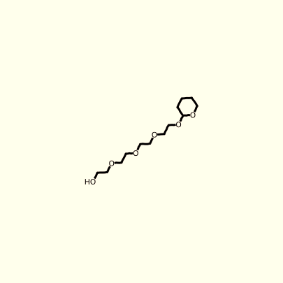 OCCOCCOCCOCCOC1CCCCO1